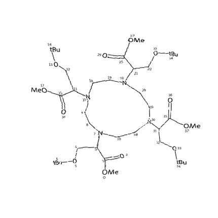 COC(=O)C(COC(C)(C)C)N1CCN(C(COC(C)(C)C)C(=O)OC)CCN(C(COC(C)(C)C)C(=O)OC)CCN(C(COC(C)(C)C)C(=O)OC)CC1